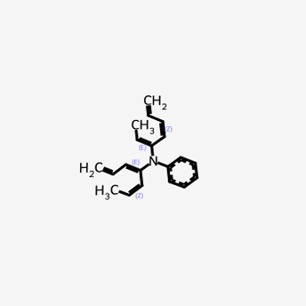 C=C/C=C\C(=C/C)N(C(/C=C\C)=C/C=C)c1ccccc1